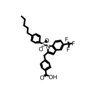 CCCCCc1ccc(S(=O)(=O)n2c(Cc3ccc(C(=O)O)cc3)cc3cc(C(F)(F)F)ccc32)cc1